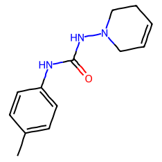 Cc1ccc(NC(=O)NN2CC=CCC2)cc1